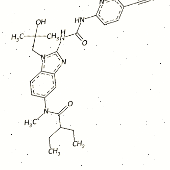 CCC(CC)C(=O)N(C)c1ccc2c(c1)nc(NC(=O)Nc1ccc(C#N)cn1)n2CC(C)(C)O